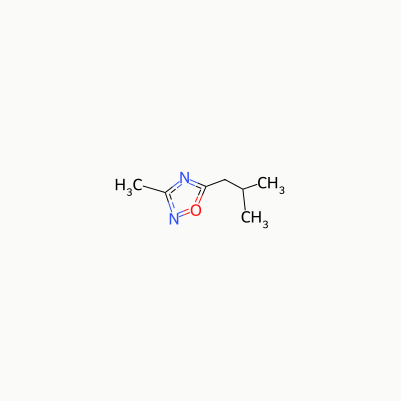 Cc1noc(CC(C)C)n1